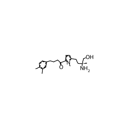 Cc1ccc(CCCC(=O)c2ccc(CC[C@@](C)(N)CO)n2C)cc1C